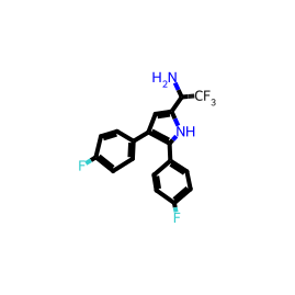 NC(c1cc(-c2ccc(F)cc2)c(-c2ccc(F)cc2)[nH]1)C(F)(F)F